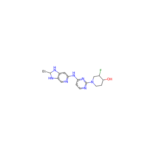 CCC1Nc2cnc(Nc3ccnc(N4CCC(O)C(F)C4)n3)cc2N1